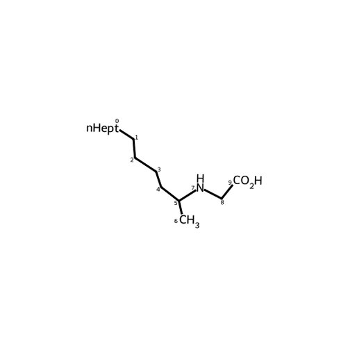 CCCCCCCCCCCC(C)NCC(=O)O